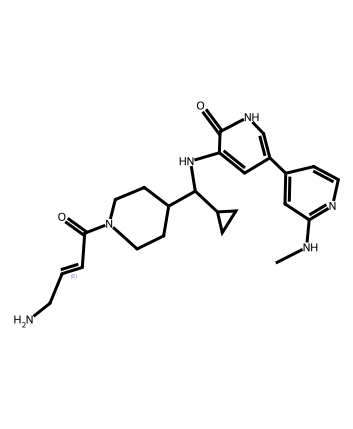 CNc1cc(-c2c[nH]c(=O)c(NC(C3CC3)C3CCN(C(=O)/C=C/CN)CC3)c2)ccn1